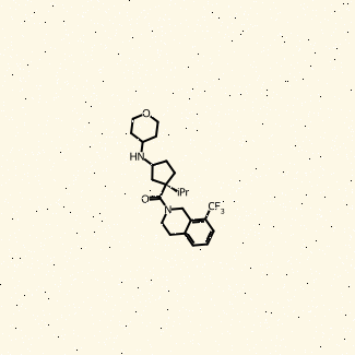 CC(C)[C@]1(C(=O)N2CCc3cccc(C(F)(F)F)c3C2)CCC(NC2CCOCC2)C1